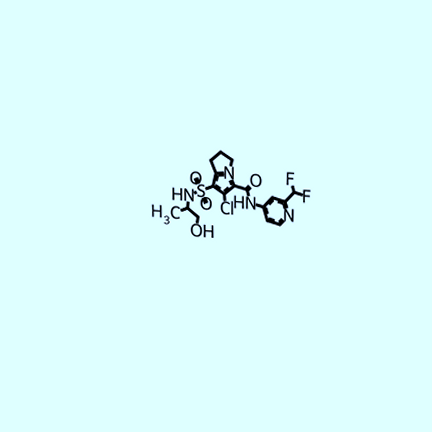 CC(CO)NS(=O)(=O)c1c(Cl)c(C(=O)Nc2ccnc(C(F)F)c2)n2c1CCC2